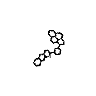 c1cc(-c2ccc3cc4ccccc4cc3n2)cc(-c2ccc3ccc4cccc5ccc2c3c45)c1